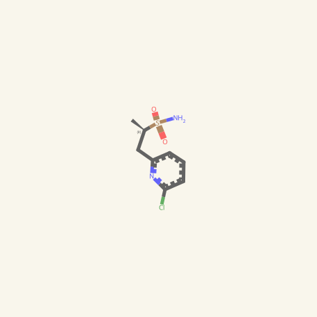 C[C@H](Cc1cccc(Cl)n1)S(N)(=O)=O